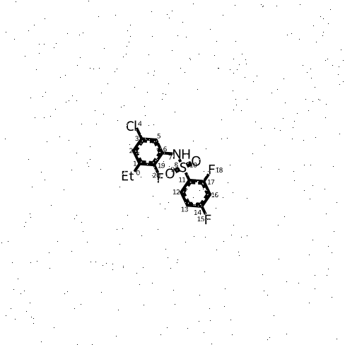 CCc1cc(Cl)cc(NS(=O)(=O)c2ccc(F)cc2F)c1F